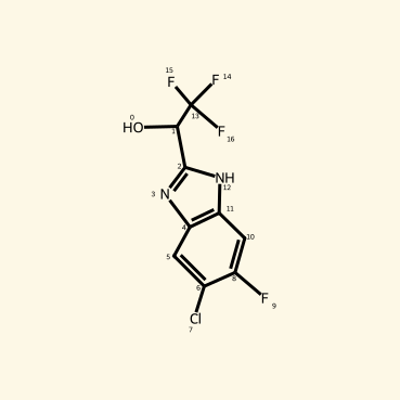 OC(c1nc2cc(Cl)c(F)cc2[nH]1)C(F)(F)F